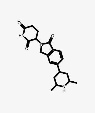 CC1CC(c2ccc3c(c2)CN(C2CCC(=O)NC2=O)C3=O)CC(C)N1